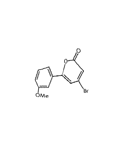 COc1cccc(-c2cc(Br)cc(=O)o2)c1